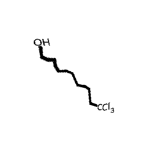 OCCCCCCCC(Cl)(Cl)Cl